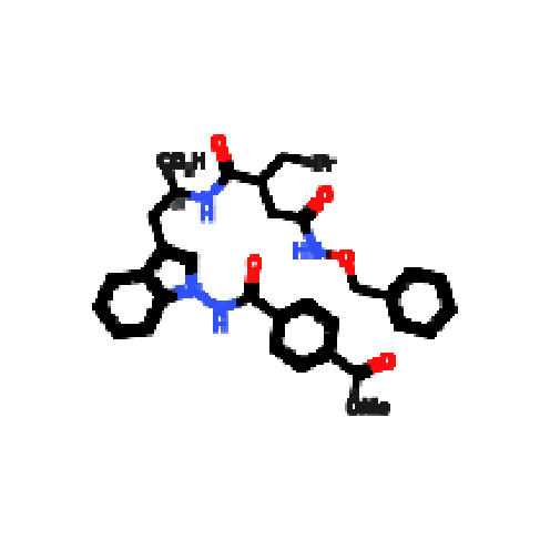 COC(=O)c1ccc(C(=O)Nn2cc(C[C@H](NC(=O)C(CC(=O)NOCc3ccccc3)CC(C)C)C(=O)O)c3ccccc32)cc1